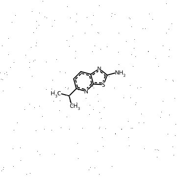 CC(C)c1ccc2nc(N)sc2n1